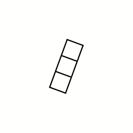 C1CC2C1C1CCC21